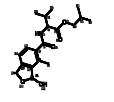 Cc1c(C(=O)NC(C(=O)OCC(C)C)C(C)C)ccc2c1B(O)OC2